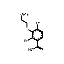 CCc1ccc(C(O)=S)c(Br)c1OCCOC